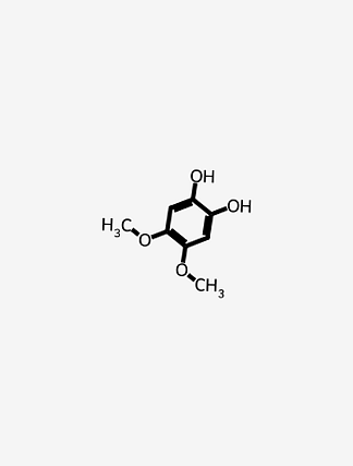 COc1cc(O)c(O)cc1OC